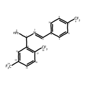 CCCC(/N=C/c1ccc(C(F)(F)F)cc1)c1cc(C(F)(F)F)ccc1C(F)(F)F